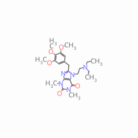 CCN(CC)CCn1c(Cc2cc(OC)c(OC)c(OC)c2)nc2c1c(=O)n(C)c(=O)n2C